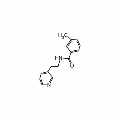 Cc1cccc(C(=O)NCCc2cccnc2)c1